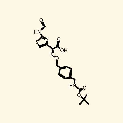 CC(C)(C)OC(=O)NCc1ccc(CON=C(C(=O)O)c2csc(NC=O)n2)cc1